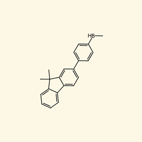 CBc1ccc(-c2ccc3c(c2)C(C)(C)c2ccccc2-3)cc1